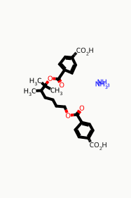 CC(CCCCOC(=O)c1ccc(C(=O)O)cc1)C(C)(C)OC(=O)c1ccc(C(=O)O)cc1.N.N